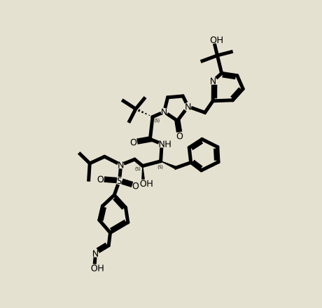 CC(C)CN(C[C@H](O)[C@H](Cc1ccccc1)NC(=O)[C@@H](N1CCN(Cc2cccc(C(C)(C)O)n2)C1=O)C(C)(C)C)S(=O)(=O)c1ccc(C=NO)cc1